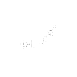 CC(COCCC(=O)N1CCN(c2ncc(C3CCC3)cn2)CC1)Nc1cn[nH]c(=O)c1C(F)(F)F